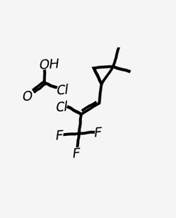 CC1(C)CC1/C=C(\Cl)C(F)(F)F.O=C(O)Cl